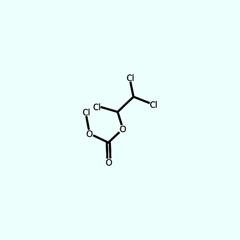 O=C(OCl)OC(Cl)C(Cl)Cl